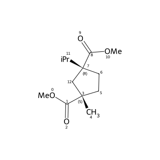 COC(=O)[C@@]1(C)CC[C@](C(=O)OC)(C(C)C)C1